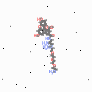 COC1(c2ccc(C(=O)NC/C(N)=C/N(N)CCOCCOCCOCCN)cc2C=O)c2ccc(O)cc2Oc2cc(O)ccc21